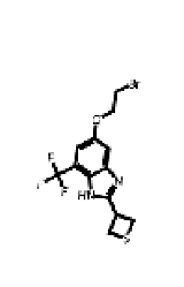 FC(F)(F)c1cc(OCCBr)cc2nc(C3CSC3)[nH]c12